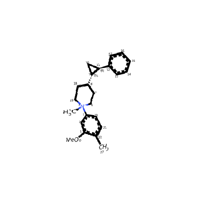 COc1cc([N+]2(C)CCC([C@@H]3C[C@H]3c3ccccc3)CC2)ccc1C